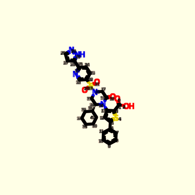 O=C(O)c1sc(-c2ccccc2)cc1N1C(=O)CN(S(=O)(=O)c2ccc(-c3ccn[nH]3)nc2)C[C@H]1C1CCCCC1